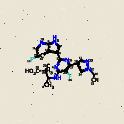 C[C@H](Nc1nc(-c2c[nH]c3ncc(F)cc23)nc(-c2cnn(CC#N)c2)c1F)[C@H](C)C(=O)O